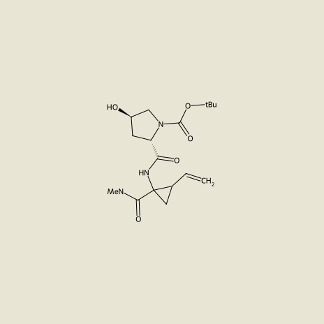 C=CC1CC1(NC(=O)[C@@H]1C[C@@H](O)CN1C(=O)OC(C)(C)C)C(=O)NC